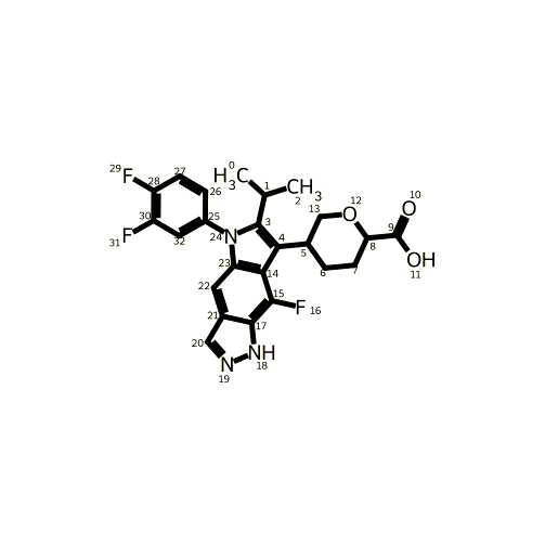 CC(C)c1c(C2CCC(C(=O)O)OC2)c2c(F)c3[nH]ncc3cc2n1-c1ccc(F)c(F)c1